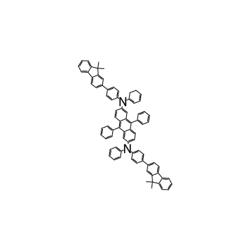 CC1(C)c2ccccc2-c2ccc(-c3ccc(N(C4=CC=CCC4)c4ccc5c(-c6ccccc6)c6cc(N(c7ccccc7)c7ccc(-c8ccc9c(c8)C(C)(C)c8ccccc8-9)cc7)ccc6c(-c6ccccc6)c5c4)cc3)cc21